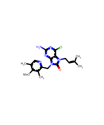 COc1c(C)cnc(Cn2c(=O)n(CC=C(C)C)c3c(Cl)nc(N)nc32)c1C